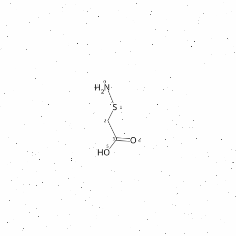 NSCC(=O)O